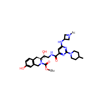 CC(=O)N1CC(Nc2cc(C(=O)NC[C@@H](O)[C@@H]3Cc4ccc(O)cc4CN3C(=O)OC(C)(C)C)nc(N3CCC(C)CC3)n2)C1